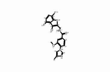 COc1cc(C(=O)NCc2sc3c(F)ccc(F)c3c2Cl)ccc1-n1cnc(C)c1